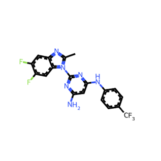 Cc1nc2cc(F)c(F)cc2n1-c1nc(N)cc(Nc2ccc(C(F)(F)F)cc2)n1